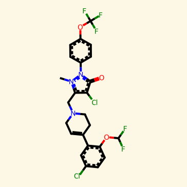 Cn1c(CN2CC=C(c3cc(Cl)ccc3OC(F)F)CC2)c(Cl)c(=O)n1-c1ccc(OC(F)(F)F)cc1